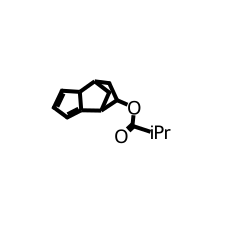 CC(C)C(=O)OC1CC2CC1C1=CC=CC12